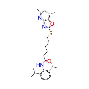 Cc1cc(C)c2oc(SCCCCCC(=O)Nc3c(C(C)C)cccc3C(C)C)nc2n1